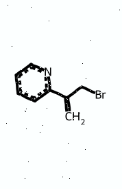 C=C(CBr)c1ccccn1